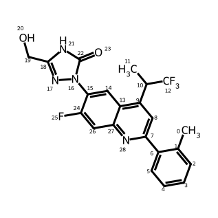 Cc1ccccc1-c1cc(C(C)C(F)(F)F)c2cc(-n3nc(CO)[nH]c3=O)c(F)cc2n1